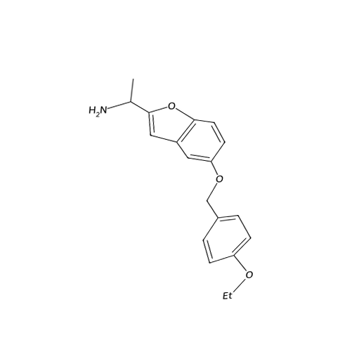 CCOc1ccc(COc2ccc3oc(C(C)N)cc3c2)cc1